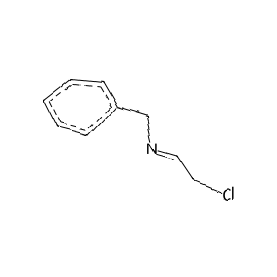 ClCC=NCc1ccccc1